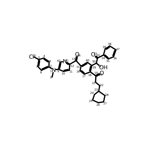 CN(c1ccc(Cl)cc1)c1ccc(C(=O)c2ccc(C(=O)CCC3CCCCC3)c(C(O)C(=O)c3ccccc3)c2)nc1